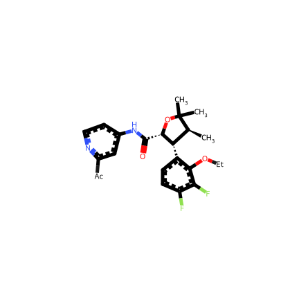 CCOc1c([C@@H]2[C@H](C(=O)Nc3ccnc(C(C)=O)c3)OC(C)(C)[C@H]2C)ccc(F)c1F